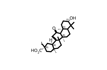 CC1(C)C2CC[C@]3(C)C(C(=O)C=C4[C@@H]5C[C@@](I)(C(=O)O)CC[C@]5(C)CCC43C)[C@@]2(C)CC[C@@H]1O